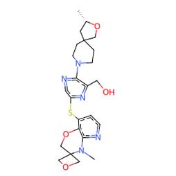 C[C@H]1CC2(CCN(c3ncc(Sc4ccnc5c4OCC4(COC4)N5C)nc3CO)CC2)CO1